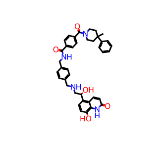 CC1(c2ccccc2)CCN(C(=O)c2ccc(C(=O)NCc3ccc(CNCC(O)c4ccc(O)c5[nH]c(=O)ccc45)cc3)cc2)CC1